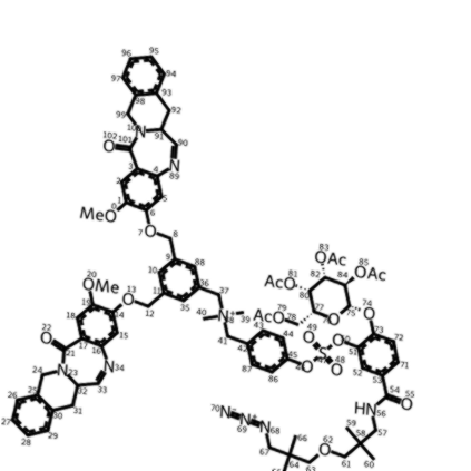 COc1cc2c(cc1OCc1cc(COc3cc4c(cc3OC)C(=O)N3Cc5ccccc5CC3C=N4)cc(C[N+](C)(C)Cc3ccc(OS(=O)(=O)Oc4cc(C(=O)NCC(C)(C)COCC(C)(C)CN=[N+]=[N-])ccc4O[C@@H]4O[C@H](COC(C)=O)[C@H](OC(C)=O)[C@H](OC(C)=O)[C@H]4OC(C)=O)cc3)c1)N=CC1Cc3ccccc3CN1C2=O